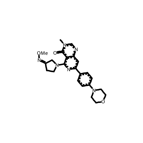 CON=C1CCN(c2nc(-c3ccc(N4CCOCC4)cc3)cc3ncn(C)c(=O)c23)C1